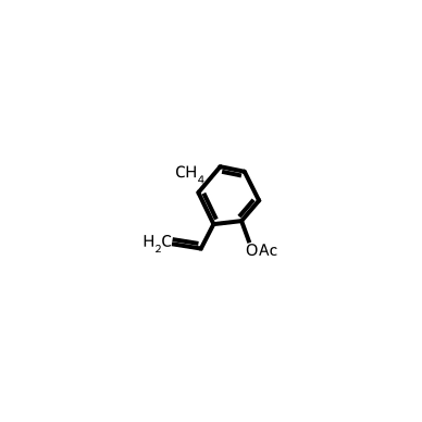 C.C=Cc1ccccc1OC(C)=O